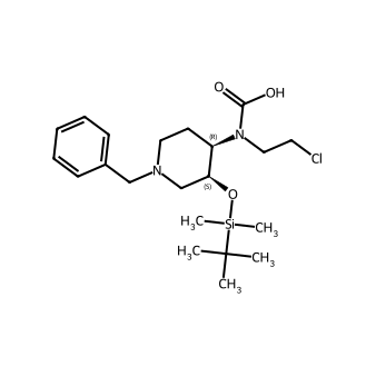 CC(C)(C)[Si](C)(C)O[C@H]1CN(Cc2ccccc2)CC[C@H]1N(CCCl)C(=O)O